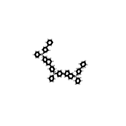 c1ccc(-c2ccc(N(c3ccccc3)c3ccc4cc(-c5ccc(N(c6ccccc6)c6ccc(-c7ccc8cc(N(c9ccccc9)c9ccc(-c%10ccccc%10)cc9)ccc8c7)cc6)cc5)ccc4c3)cc2)cc1